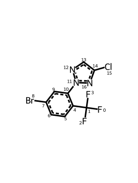 FC(F)(F)c1ccc(Br)cc1-n1ncc(Cl)n1